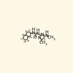 CNc1cc(C)nc(NC(=O)Nc2ccc3ccccc3c2)n1